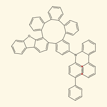 c1ccc(-c2ccc(N(c3ccc4c(c3)c3ccccc3c3ccccc3c3ccccc3c3c4ccc4c5ccccc5oc43)c3ccccc3-c3ccccc3)cc2)cc1